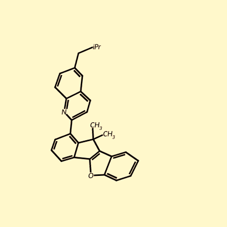 CC(C)Cc1ccc2nc(-c3cccc4c3C(C)(C)c3c-4oc4ccccc34)ccc2c1